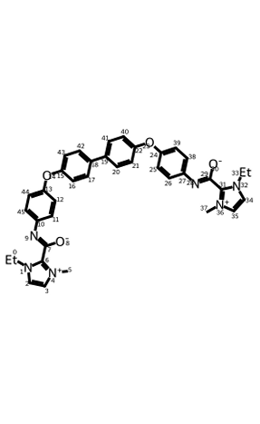 CCn1cc[n+](C)c1/C([O-])=N/c1ccc(Oc2ccc(-c3ccc(Oc4ccc(/N=C(\[O-])c5n(CC)cc[n+]5C)cc4)cc3)cc2)cc1